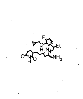 CCC(CN(N)/C(=C\N)CCCCC1CCC(=O)NC1=O)c1ccc(F)c(OCC2CC2)c1